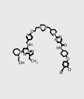 CCc1cnn2c(NCc3ccc(OCCN4CCN(CC5CCN(c6ncc(C(=O)NC7CCC(Oc8ccc(C#N)c(Cl)c8)CC7)cn6)CC5)CC4)nc3)cc(N3CCCC[C@H]3CCO)nc12